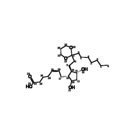 CCCCCCCC1(CC[C@H]2[C@H](O)CC(O)[C@@H]2C/C=C\CCCC(=O)O)OCCCO1